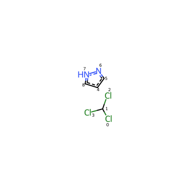 ClC(Cl)Cl.c1cn[nH]c1